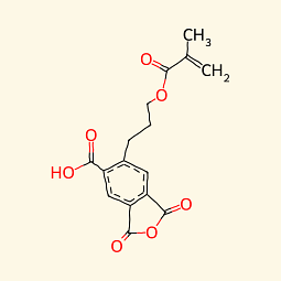 C=C(C)C(=O)OCCCc1cc2c(cc1C(=O)O)C(=O)OC2=O